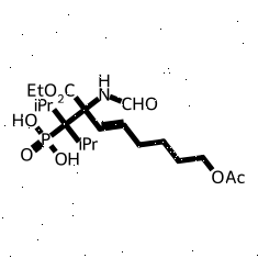 CCOC(=O)C(C=CCCCCOC(C)=O)(NC=O)C(C(C)C)(C(C)C)P(=O)(O)O